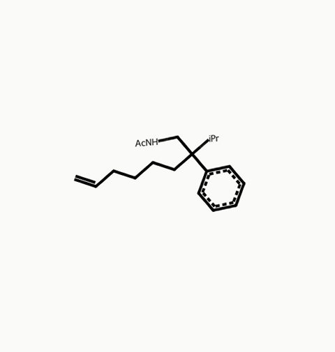 C=CCCCCC(CNC(C)=O)(c1ccccc1)C(C)C